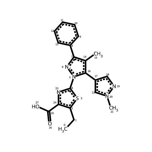 CCc1sc(-n2nc(-c3ccccc3)c(C)c2-c2cnn(C)c2)nc1C(=O)O